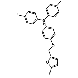 Ic1ccc([SH](c2ccc(I)cc2)c2ccc(OCc3ccc(I)o3)cc2)cc1